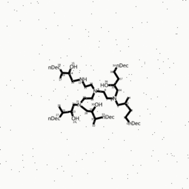 CCCCCCCCCCCCC(C)CN(CCN(CCNCC(O)C(C)CCCCCCCCCC)CCN(CC(O)C(C)CCCCCCCCCC)CC(O)C(C)CCCCCCCCCC)CC(O)CCCCCCCCCCCC